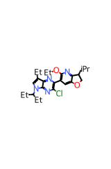 CCOc1nc2c(cc1-c1nc3c(CC)cn(C(CC)CC)c3nc1Cl)OCC2C(C)C